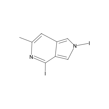 Cc1cc2cn(I)cc2c(I)n1